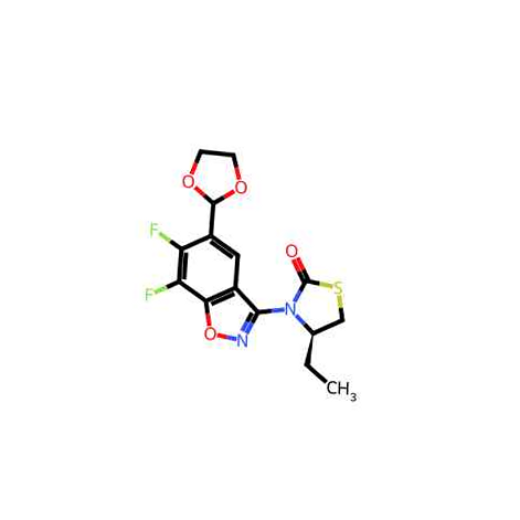 CC[C@@H]1CSC(=O)N1c1noc2c(F)c(F)c(C3OCCO3)cc12